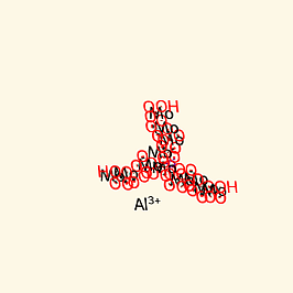 O=P([O][Mo](=[O])(=[O])[O][Mo](=[O])(=[O])[O][Mo](=[O])(=[O])[O][Mo](=[O])(=[O])[OH])([O][Mo](=[O])(=[O])[O][Mo](=[O])(=[O])[O][Mo](=[O])(=[O])[O][Mo](=[O])(=[O])[OH])[O][Mo](=[O])(=[O])[O][Mo](=[O])(=[O])[O][Mo](=[O])(=[O])[O][Mo](=[O])(=[O])[OH].[Al+3]